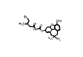 COc1ccc2c3c1OC1CC(OC(=O)NC(=O)CC(C)CC(C)C)C=C(CC(C)(N)C2)C31